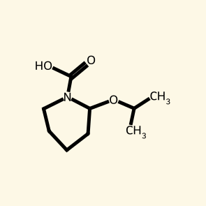 CC(C)OC1CCCCN1C(=O)O